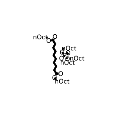 CCCCCCCCOC(=O)CCCCCCCCC(=O)OCCCCCCCC.CCCCCCCCOP(=O)(OCCCCCCCC)OCCCCCCCC